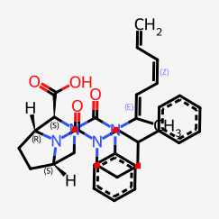 C=C/C=C\C=C(/C)N(C(=O)N1C[C@@H]2CC[C@H]([C@H]1C(=O)O)N2C(=O)N1CCCC(c2ccccc2)C1)c1ccccc1